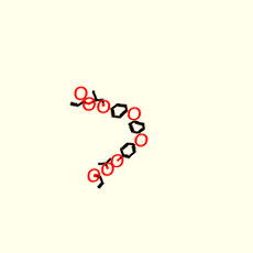 C=CC(=O)OC(C)COc1ccc(Oc2ccc(Oc3ccc(OCC(C)OC(=O)C=C)cc3)cc2)cc1